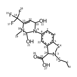 CCSN1Sc2ccc(N3C(O)C=C(C(F)(F)F)N(C)C3O)cc2C1C(=O)O